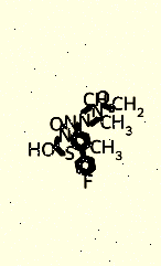 C=CC(=O)N1[C@H](C)CN(c2nc(=O)n3c4c(c(-c5ccc(F)cc5)c(C)cc24)SC[C@@H](O)C3)C[C@@H]1C